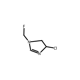 FCN1[C]=NC(Cl)[CH]1